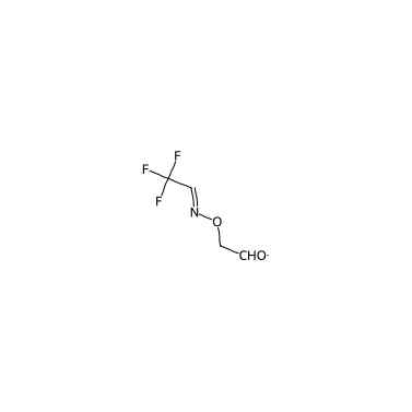 O=[C]CON=CC(F)(F)F